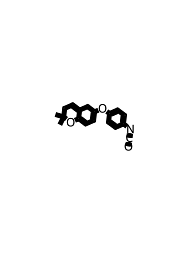 CC1(C)CC=C2CC(Oc3ccc(N=C=O)cc3)=CC=C2O1